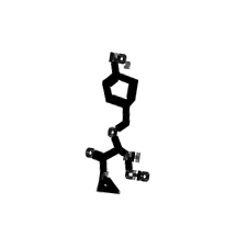 O=CNC(OCc1ccc([N+](=O)[O-])cc1)C(=O)N1CC1